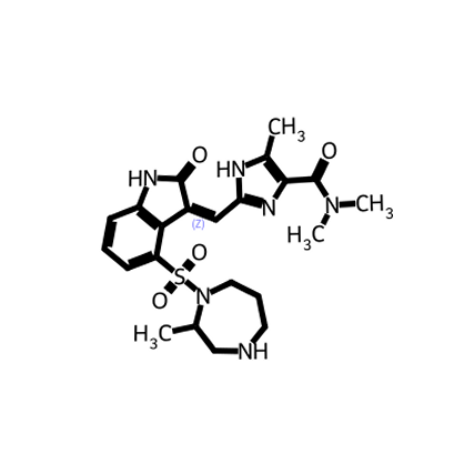 Cc1[nH]c(/C=C2\C(=O)Nc3cccc(S(=O)(=O)N4CCCNCC4C)c32)nc1C(=O)N(C)C